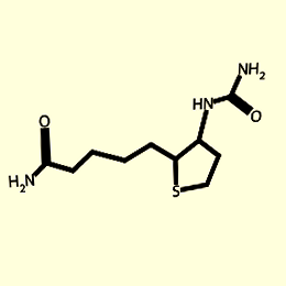 NC(=O)CCCCC1SCCC1NC(N)=O